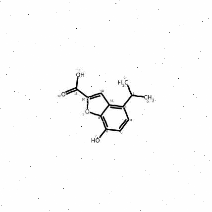 CC(C)c1ccc(O)c2oc(C(=O)O)cc12